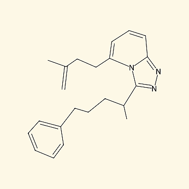 C=C(C)CCc1cccc2nnc(C(C)CCCc3ccccc3)n12